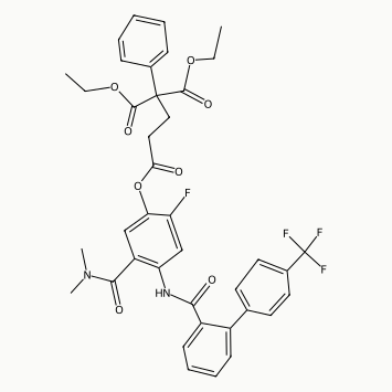 CCOC(=O)C(CCC(=O)Oc1cc(C(=O)N(C)C)c(NC(=O)c2ccccc2-c2ccc(C(F)(F)F)cc2)cc1F)(C(=O)OCC)c1ccccc1